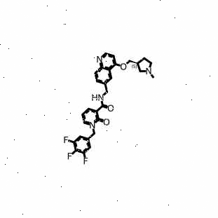 CN1CC[C@H](COc2ccnc3ccc(CNC(=O)c4cccn(Cc5cc(F)c(F)c(F)c5)c4=O)cc23)C1